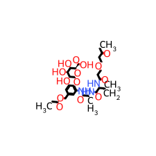 C=C(C)[C@H](NC(=O)CCOCCC(=O)CC)C(=O)N[C@@H](C)C(=O)Nc1cc(COC(=O)CC)ccc1O[C@@H]1O[C@H](C(=O)O)[C@@H](O)[C@H](O)[C@H]1O